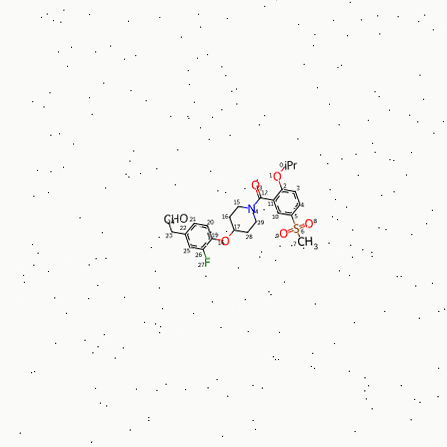 CC(C)Oc1ccc(S(C)(=O)=O)cc1C(=O)N1CCC(Oc2ccc(CC=O)cc2F)CC1